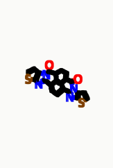 O=C1C2CC=c3c(=O)n4c5ccsc5nc4c4ccc(c2c34)-c2nc3sccc3n21